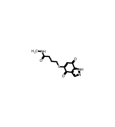 CNC(=O)CCCSC1=CC(=O)c2[nH]ncc2C1=O